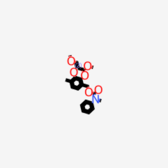 CO/C=C(\Oc1cc(COC(=O)N(C)c2ccccc2)ccc1C)C(=O)OC